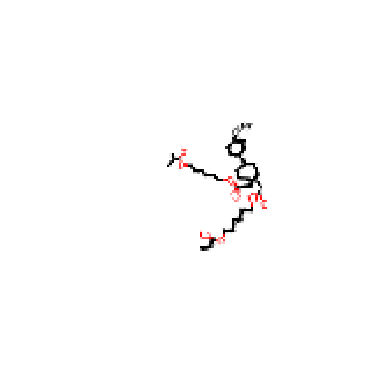 C=CC(=O)OCCCCCCOC(=O)CC1(CC(=O)OCCCCCCOC(=O)C(=C)C)CCC(C2CCC(CCC)CC2)CC1